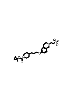 CC1(OC(=O)N2CCC(CCCOc3ccc4c(c3)CCN(CCS(C)(=O)=O)C4)CC2)CC1